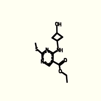 CCOC(=O)c1cnc(SC)nc1NC1CC(O)C1